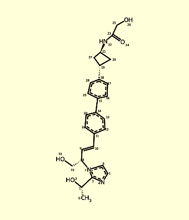 C[C@H](O)c1nccn1[C@@H](/C=C/c1ccc(-c2ccc([C@H]3C[C@H](NC(=O)CO)C3)cc2)cc1)CO